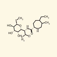 CCC1CC[C@@H](C(=O)N[C@@H]([C@H]2O[C@H](SC)[C@H](O)[C@@H](O)[C@H]2O)[C@H](C)Cl)NCC1C